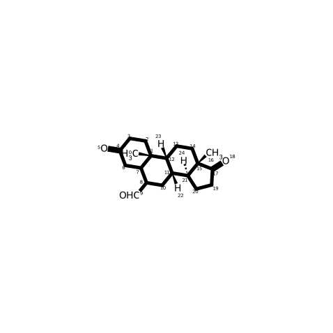 C[C@]12CCC(=O)CC1C(C=O)C[C@@H]1[C@H]2CC[C@]2(C)C(=O)CC[C@@H]12